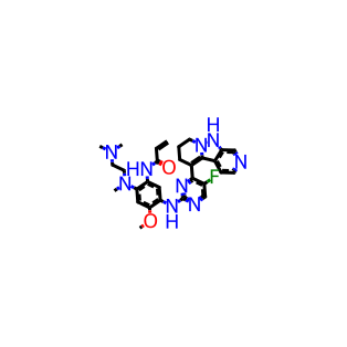 C=CC(=O)Nc1cc(Nc2ncc(F)c(C3=C4c5ccncc5NN4CCC3)n2)c(OC)cc1N(C)CCN(C)C